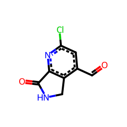 O=Cc1cc(Cl)nc2c1CNC2=O